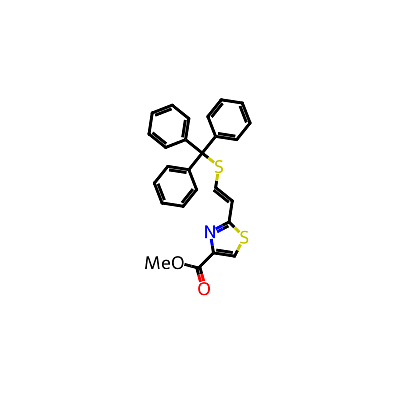 COC(=O)c1csc(C=CSC(c2ccccc2)(c2ccccc2)c2ccccc2)n1